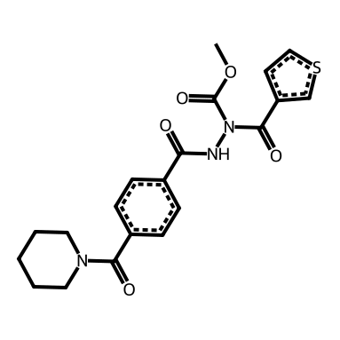 COC(=O)N(NC(=O)c1ccc(C(=O)N2CCCCC2)cc1)C(=O)c1ccsc1